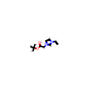 C=Cn1cc[n+](CC(=O)OC(C)(C)C)c1